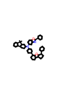 CC1(C)c2ccccc2-c2ccc(N(c3ccc(-c4cccc5c4oc4c(-c6ccccc6)cccc45)cc3)c3ccc4oc(-c5ccccc5)nc4c3)cc21